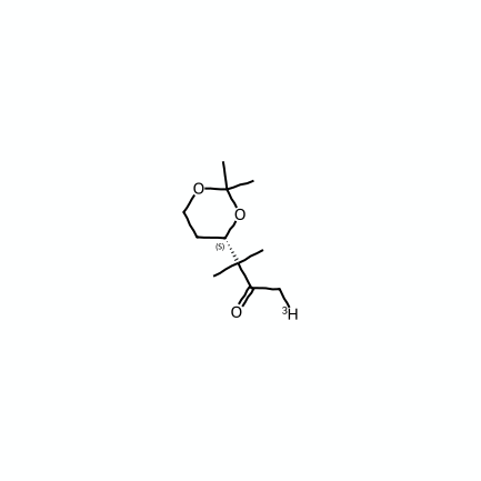 [3H]CC(=O)C(C)(C)[C@@H]1CCOC(C)(C)O1